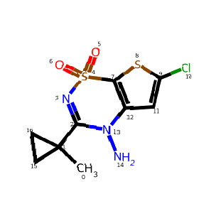 CC1(C2=NS(=O)(=O)c3sc(Cl)cc3N2N)CC1